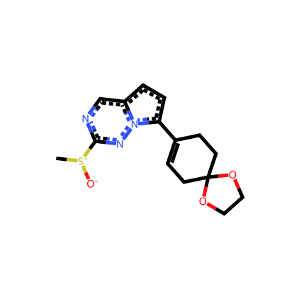 C[S+]([O-])c1ncc2ccc(C3=CCC4(CC3)OCCO4)n2n1